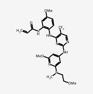 C=CC(=O)Nc1cc(OC)ccc1Nc1nc(Nc2cc(OC)nc(N(C)CCOC)c2)ncc1C(F)(F)F